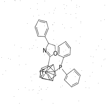 c1ccc(C2COC([C]34[CH]5[CH]6[CH]7[C]3(P(c3ccccc3)c3ccccc3)[Fe]6574389%10[CH]4[CH]3[CH]8[CH]9[CH]4%10)=N2)cc1